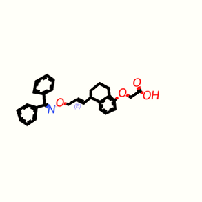 O=C(O)COc1cccc2c1CCCC2/C=C/CON=C(c1ccccc1)c1ccccc1